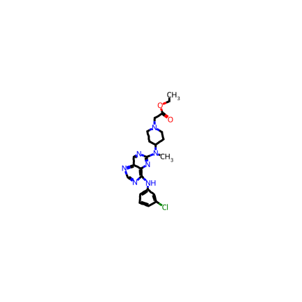 CCOC(=O)CN1CCC(N(C)c2ncc3ncnc(Nc4cccc(Cl)c4)c3n2)CC1